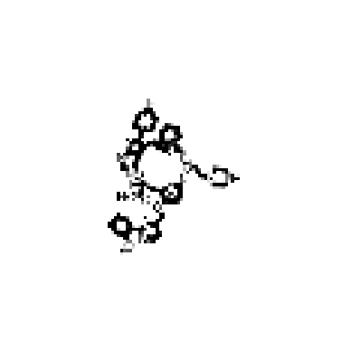 COc1ccccc1-c1nccc(COc2ccc3cc2C[C@H](C(=O)O)Oc2ncnc4sc(-c5ccc(F)cc5)c(c24)-c2ccc(c4ccccc24)CN(CCN2CCN(C)CC2)C3)n1